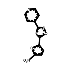 O=[N+]([O-])c1ccc(-c2nc(-c3ccncc3)no2)o1